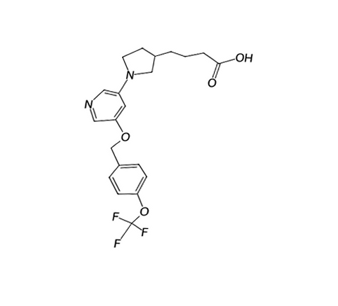 O=C(O)CCCC1CCN(c2cncc(OCc3ccc(OC(F)(F)F)cc3)c2)C1